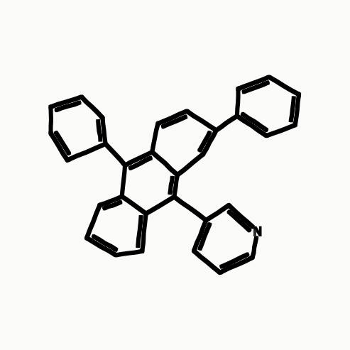 c1ccc(-c2ccc3c(-c4ccccc4)c4ccccc4c(-c4cccnc4)c3c2)cc1